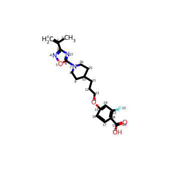 C=C(C)c1noc(N2CCC(CCCOc3ccc(C(=O)O)c(F)c3)CC2)n1